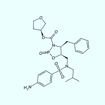 CC(C)CN(C[C@H]1O[PH](=O)N(C(=O)O[C@H]2CCOC2)[C@H]1Cc1ccccc1)S(=O)(=O)c1ccc(N)cc1